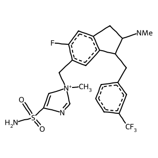 CNC1Cc2cc(F)c(C[N+]3(C)C=NC(S(N)(=O)=O)=C3)cc2C1Cc1cccc(C(F)(F)F)c1